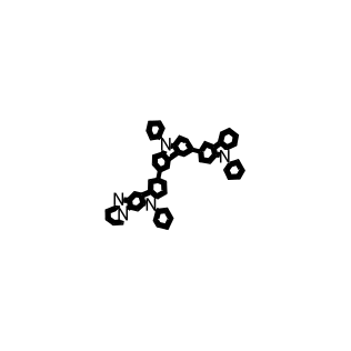 c1ccc(-n2c3ccccc3c3cc(-c4ccc5c(c4)c4cc(-c6ccc7c(c6)c6cc8nc9ccccn9c8cc6n7-c6ccccc6)ccc4n5-c4ccccc4)ccc32)cc1